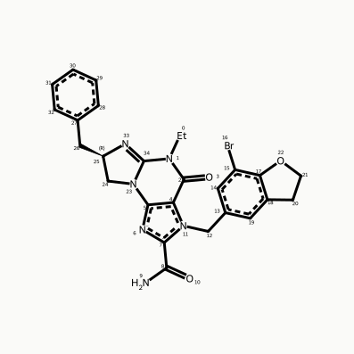 CCN1C(=O)c2c(nc(C(N)=O)n2Cc2cc(Br)c3c(c2)CCO3)N2C[C@@H](Cc3ccccc3)N=C12